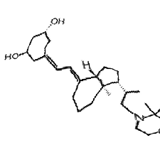 CC(CN1CCOCC1(C)C)[C@H]1CC[C@H]2C(=CC=C3C[C@@H](O)C[C@H](O)C3)CCC[C@]12C